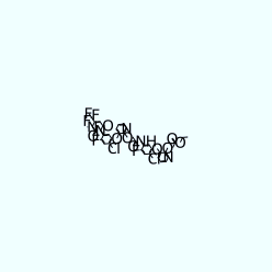 CCOC(=O)COc1ncccc1Oc1cc(NC(=O)COc2ncccc2Oc2cc(-n3c(=O)cc(C(F)(F)F)n(C)c3=O)c(F)cc2Cl)c(F)cc1Cl